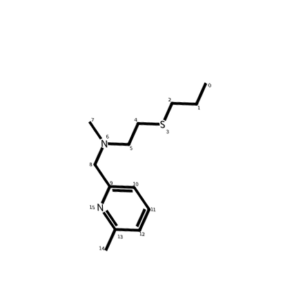 CCCSCCN(C)Cc1cccc(C)n1